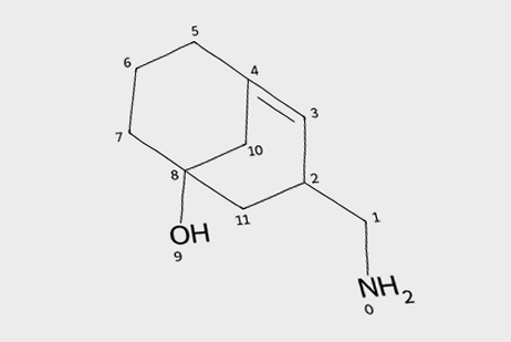 NCC1C=C2CCCC(O)(C2)C1